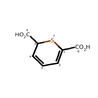 O=C(O)C1=CC=CC(C(=O)O)S1